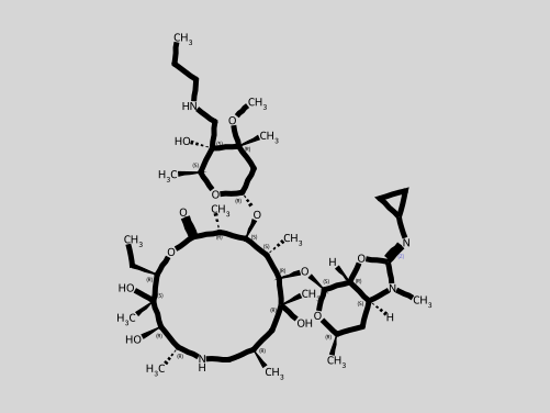 CCCNC[C@]1(O)[C@H](C)O[C@@H](O[C@H]2[C@H](C)[C@@H](O[C@@H]3O[C@H](C)C[C@H]4[C@H]3O/C(=N\C3CC3)N4C)[C@](C)(O)C[C@@H](C)CN[C@H](C)[C@@H](O)[C@](C)(O)[C@@H](CC)OC(=O)[C@@H]2C)C[C@@]1(C)OC